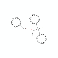 CC(OCc1ccccc1)C(F)(c1ccccc1)c1ccccc1